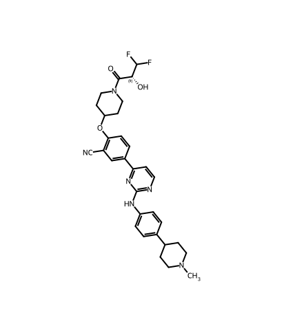 CN1CCC(c2ccc(Nc3nccc(-c4ccc(OC5CCN(C(=O)[C@@H](O)C(F)F)CC5)c(C#N)c4)n3)cc2)CC1